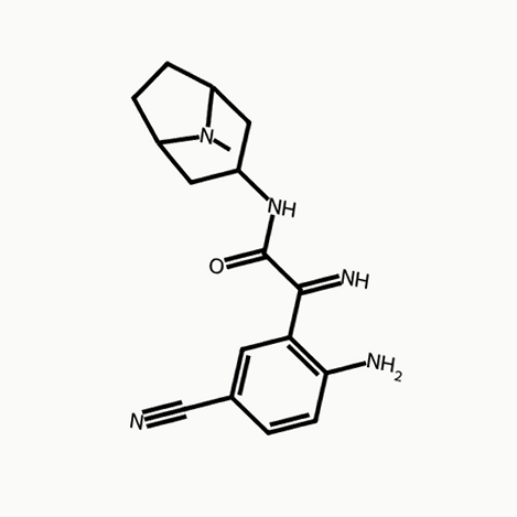 CN1C2CCC1CC(NC(=O)C(=N)c1cc(C#N)ccc1N)C2